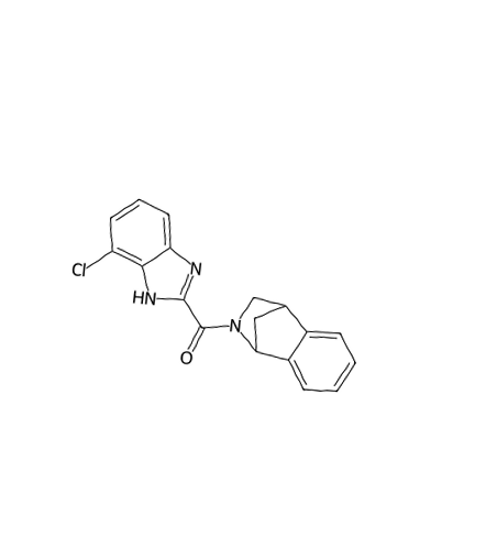 O=C(c1nc2cccc(Cl)c2[nH]1)N1CC2CC1c1ccccc12